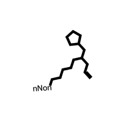 C=CCC(CCCCCCCCCCCCCC)CC1CCCC1